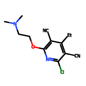 CCc1c(C#N)c(Cl)nc(OCCN(C)C)c1C#N